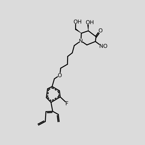 C=C/C=C(\C=C)c1ccc(COCCCCCN2CC(N=O)C(=O)[C@H](O)[C@@H]2CO)cc1F